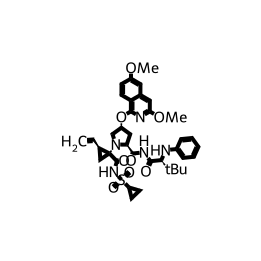 C=C[C@@H]1C[C@@]1(C(=O)NS(=O)(=O)C1CC1)N1C[C@H](Oc2nc(OC)cc3cc(OC)ccc23)C[C@H]1C(=O)NC(=O)[C@H](Nc1ccccc1)C(C)(C)C